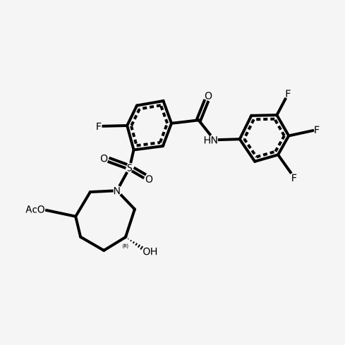 CC(=O)OC1CC[C@@H](O)CN(S(=O)(=O)c2cc(C(=O)Nc3cc(F)c(F)c(F)c3)ccc2F)C1